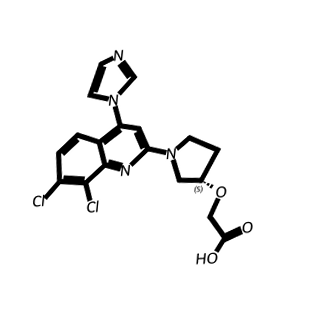 O=C(O)CO[C@H]1CCN(c2cc(-n3ccnc3)c3ccc(Cl)c(Cl)c3n2)C1